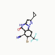 N#Cc1c(Br)c(C(F)(F)F)cc2c1c(=O)[nH]c1cc(C3CC3)nn12